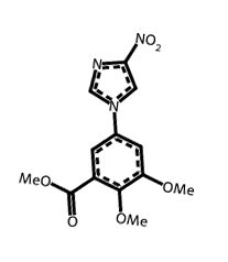 COC(=O)c1cc(-n2cnc([N+](=O)[O-])c2)cc(OC)c1OC